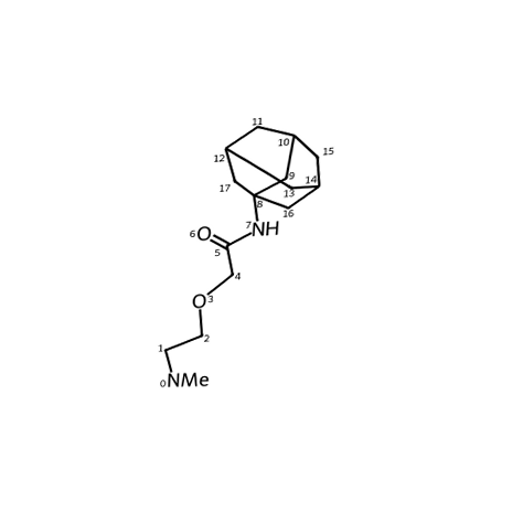 CNCCOCC(=O)NC12CC3CC(CC(C3)C1)C2